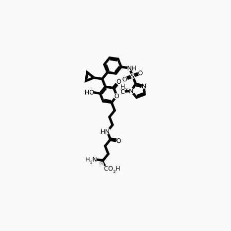 Cn1ccnc1S(=O)(=O)Nc1cccc(C(c2c(O)cc(CCCNC(=O)CC[C@H](N)C(=O)O)oc2=O)C2CC2)c1